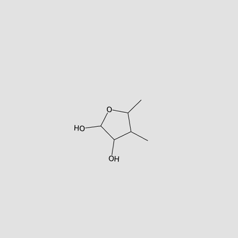 CC1OC(O)C(O)C1C